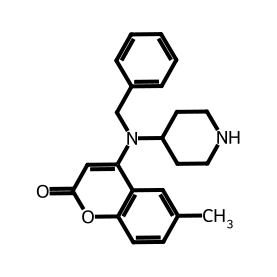 Cc1ccc2oc(=O)cc(N(Cc3ccccc3)C3CCNCC3)c2c1